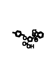 Cc1ccc(CO[C@H]2C[C@@H](S(=O)(=O)c3ccccc3Cl)C[C@@H]2C(=O)O)cc1